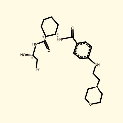 CC(C)C[C@@H](C#N)NC(=O)[C@@H]1CCCC[C@@H]1NC(=O)c1ccc(NCCN2CCOCC2)cc1